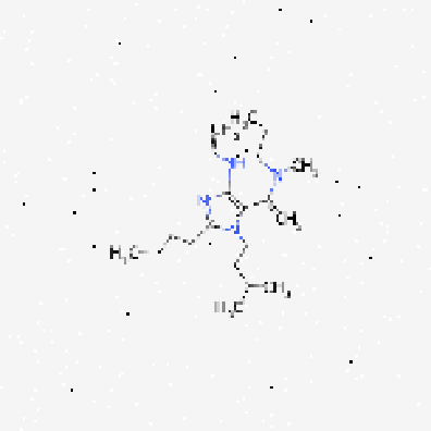 C=CNc1nc(CCCC)n(CCC(C)C)c1C(=C)N(C)CCC